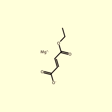 CCOC(=O)C=CC(=O)[O-].[Mg+]